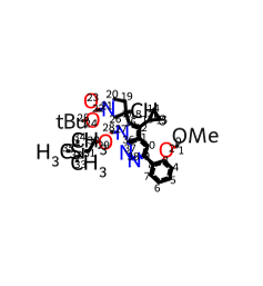 COCOc1ccccc1-c1cc2c(C3CC3)c(C3(C)CCN(C(=O)OC(C)(C)C)C3)n(COCC[Si](C)(C)C)c2nn1